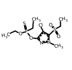 CCOP(=S)(CC)Oc1nn(C)c(S(=O)(=O)CC)c1Cl